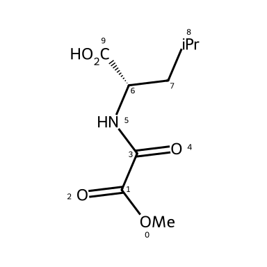 COC(=O)C(=O)N[C@@H](CC(C)C)C(=O)O